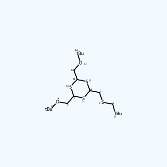 CC(C)(C)CSCC1SC(COC(C)(C)C)SC(COC(C)(C)C)S1